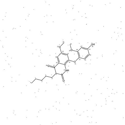 CCCCCC1C(=O)Nc2c(Oc3ccc(O)cc3OC)cc(OC)cc2C1=O